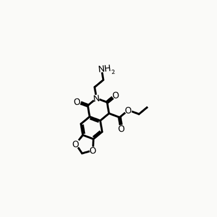 CCOC(=O)C1C(=O)N(CCN)C(=O)c2cc3c(cc21)OCO3